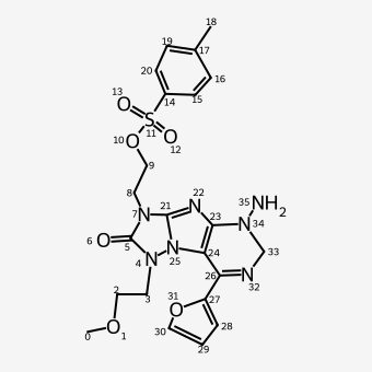 COCCn1c(=O)n(CCOS(=O)(=O)c2ccc(C)cc2)c2nc3c(n21)C(c1ccco1)=NCN3N